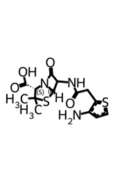 CC1(C)S[C@@H]2C(NC(=O)Cc3sccc3N)C(=O)N2[C@H]1C(=O)O